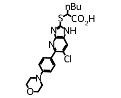 CCCCC(Sc1nc2nc(-c3ccc(N4CCOCC4)cc3)c(Cl)cc2[nH]1)C(=O)O